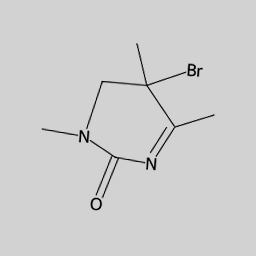 CC1=NC(=O)N(C)CC1(C)Br